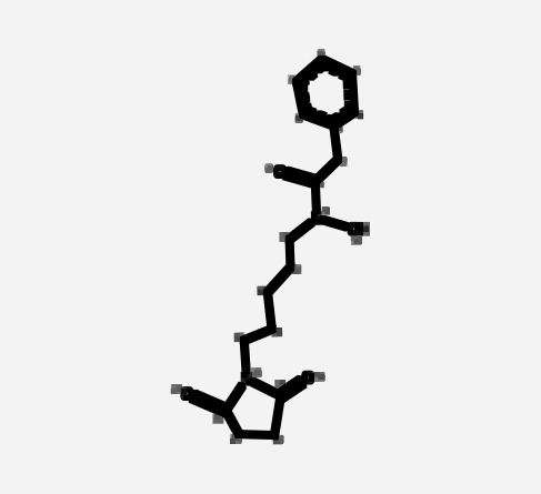 O=C(Cc1ccccc1)N(O)CCCCCN1C(=O)CCC1=O